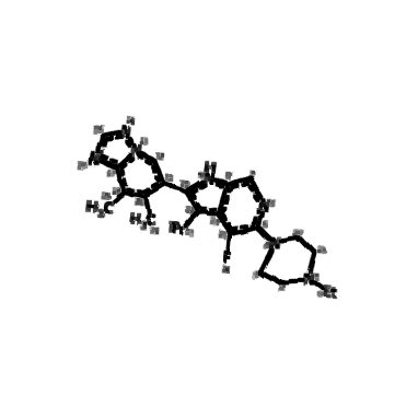 CCN1CCN(c2ncc3[nH]c(-c4cn5ncnc5c(C)c4C)c(C(C)C)c3c2F)CC1